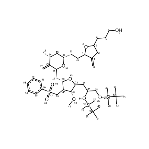 C=C1CC(CCCO)OC1CC[C@H]1C[C@@H](C)C(=C)C(C[C@@H]2OC(CC(CO[Si](C)(C)C(C)(C)C)O[Si](C)(C)C(C)(C)C)[C@H](OC)C2CS(=O)(=O)c2ccccc2)O1